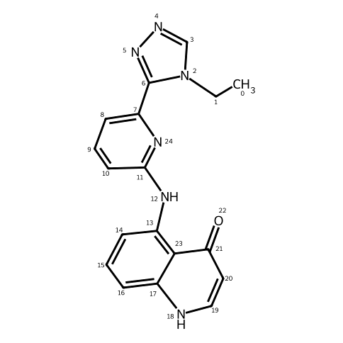 CCn1cnnc1-c1cccc(Nc2cccc3[nH]ccc(=O)c23)n1